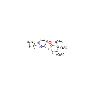 CC(=O)O[C@@H]1[C@@H](OC(C)=O)[C@H](OC(C)=O)CS[C@H]1Oc1ccc(-c2cccs2)nc1